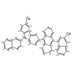 N#Cc1cc(-c2c3ccccc3c(-c3ccc4c(c3)c3cc(C#N)ccc3n4-c3ccc4ccccc4c3)c3ccccc23)c2ccccc2c1